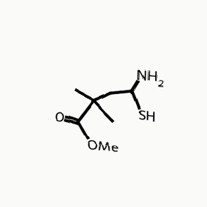 COC(=O)C(C)(C)CC(N)S